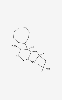 CC(C)C1CNC(N)C(Cl)(C2CCCCCCC2)C1CC(C)(C)CC(C)(C)C(C)C